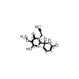 C#CCn1c(C2(Cl)C=CC=C(Cl)N2)nc(O)c(OC)c1=O